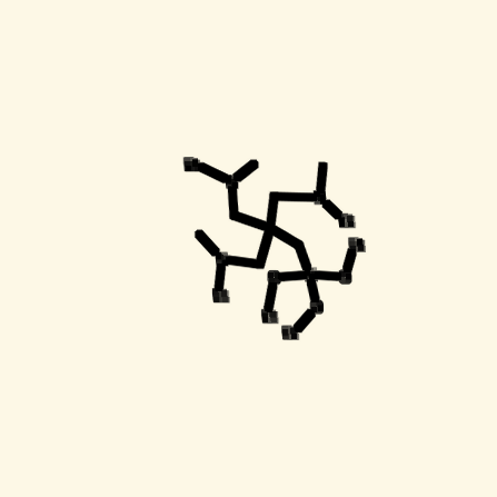 CCO[Si](CC(CN(C)CC)(CN(C)CC)CN(C)CC)(OCC)OCC